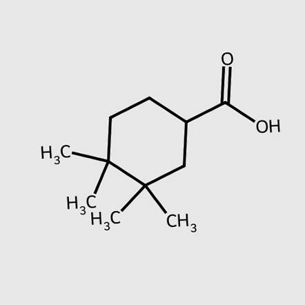 CC1(C)CCC(C(=O)O)CC1(C)C